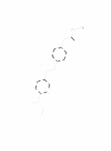 CCCN(C)c1ccc(CCc2ccc(CC(=O)NN)cc2)cn1.Cl.Cl.Cl